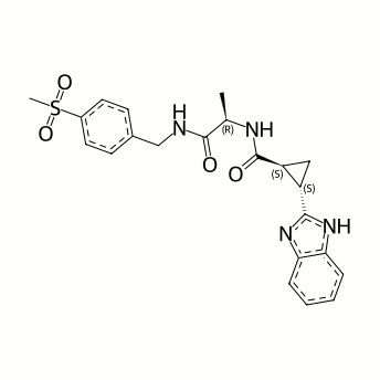 C[C@@H](NC(=O)[C@H]1C[C@@H]1c1nc2ccccc2[nH]1)C(=O)NCc1ccc(S(C)(=O)=O)cc1